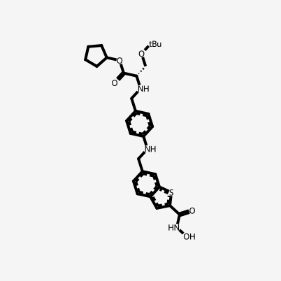 CC(C)(C)OC[C@H](NCc1ccc(NCc2ccc3cc(C(=O)NO)sc3c2)cc1)C(=O)OC1CCCC1